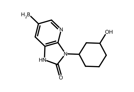 Bc1cnc2c(c1)[nH]c(=O)n2C1CCCC(O)C1